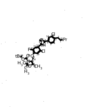 CC(C)CCc1ccc(-c2nc(-c3cc(F)c(OC[C@H]4[C@@H](C)OC(C)(C)N4C(=O)OC(C)(C)C)cc3Cl)no2)cc1Cl